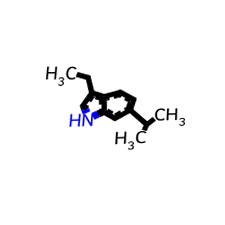 CCc1c[nH]c2cc(C(C)C)ccc12